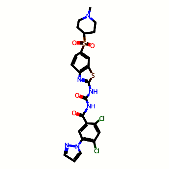 CN1CCC(S(=O)(=O)c2ccc3nc(NC(=O)NC(=O)c4cc(-n5cccn5)c(Cl)cc4Cl)sc3c2)CC1